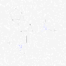 CN(C)CC1C(CN(C)C)C2CC1C1C3C=CC(C3)C21